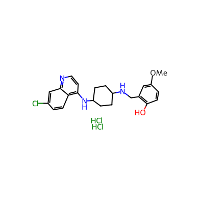 COc1ccc(O)c(CNC2CCC(Nc3ccnc4cc(Cl)ccc34)CC2)c1.Cl.Cl